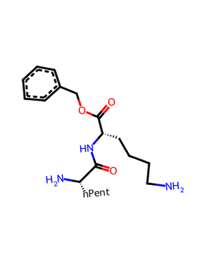 CCCCC[C@H](N)C(=O)N[C@@H](CCCCN)C(=O)OCc1ccccc1